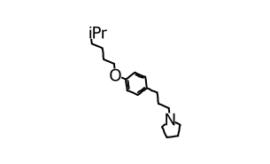 CC(C)CCCCOc1ccc(CCCN2CCCC2)cc1